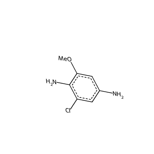 COc1cc(N)cc(Cl)c1N